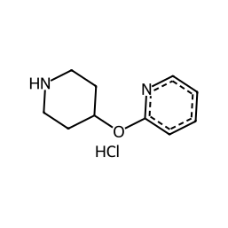 Cl.c1ccc(OC2CCNCC2)nc1